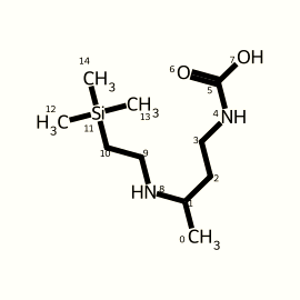 CC(CCNC(=O)O)NCC[Si](C)(C)C